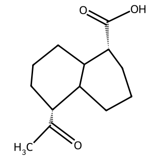 CC(=O)[C@@H]1CCCC2C1CCC[C@H]2C(=O)O